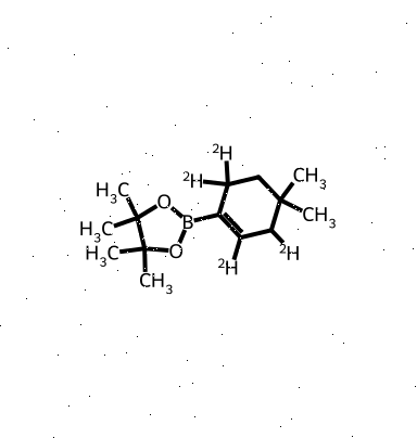 [2H]C1=C(B2OC(C)(C)C(C)(C)O2)C([2H])([2H])CC(C)(C)C1[2H]